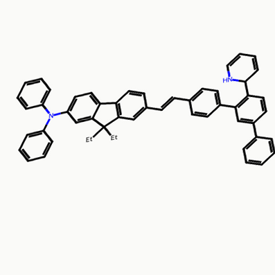 CCC1(CC)c2cc(/C=C/c3ccc(-c4cc(-c5ccccc5)ccc4C4C=CC=CN4)cc3)ccc2-c2ccc(N(c3ccccc3)c3ccccc3)cc21